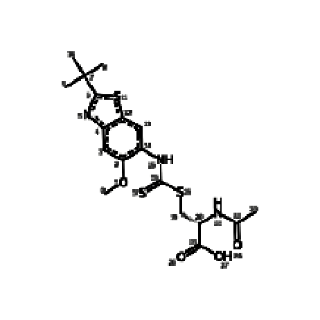 COc1cc2nc(C(C)(C)C)sc2cc1NC(=S)SC[C@H](NC(C)=O)C(=O)O